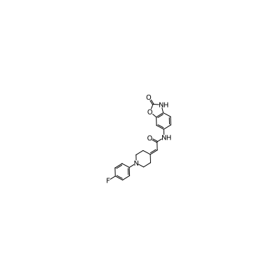 O=C(C=C1CCN(c2ccc(F)cc2)CC1)Nc1ccc2[nH]c(=O)oc2c1